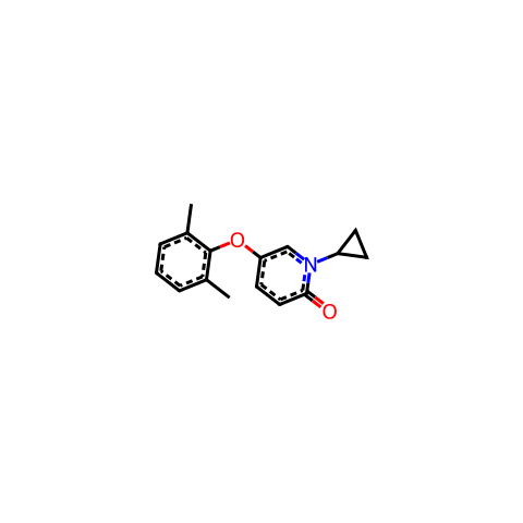 Cc1cccc(C)c1Oc1ccc(=O)n(C2CC2)c1